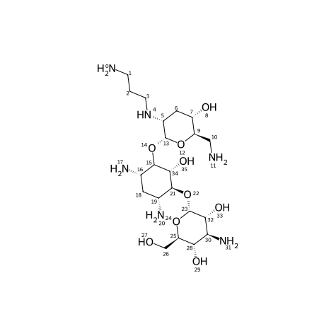 NCCCN[C@@H]1C[C@H](O)[C@@H](CN)O[C@@H]1OC1[C@@H](N)C[C@@H](N)[C@H](O[C@H]2O[C@H](CO)[C@@H](O)[C@H](N)[C@H]2O)[C@H]1O